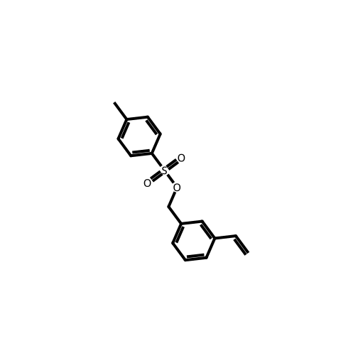 C=Cc1cccc(COS(=O)(=O)c2ccc(C)cc2)c1